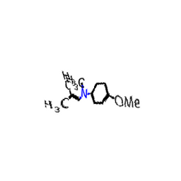 CO[C@H]1CC[C@@H](N(C)C=C(C)C)CC1